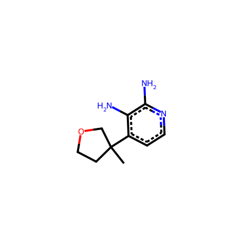 CC1(c2ccnc(N)c2N)CCOC1